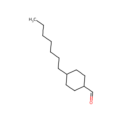 CCCCCCCC1CCC(C=O)CC1